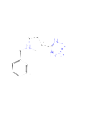 c1ccc(CN2CCC(c3nnn[nH]3)C2)cc1